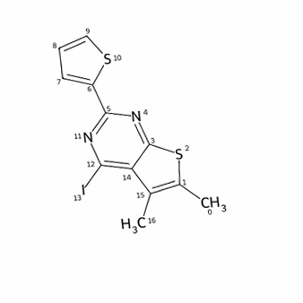 Cc1sc2nc(-c3cccs3)nc(I)c2c1C